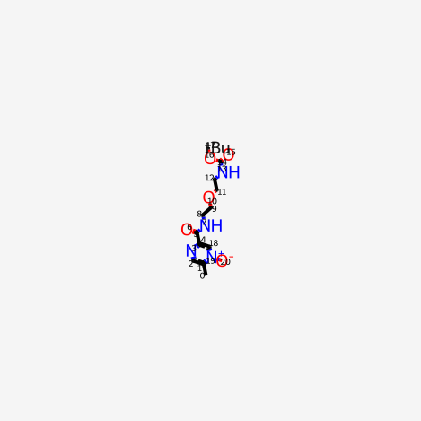 Cc1cnc(C(=O)NCCOCCNC(=O)OC(C)(C)C)c[n+]1[O-]